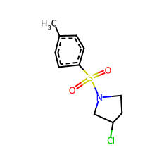 Cc1ccc(S(=O)(=O)N2CCC(Cl)C2)cc1